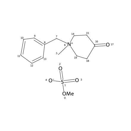 COS(=O)(=O)[O-].C[N+]1(Cc2ccccc2)CCC(=O)CC1